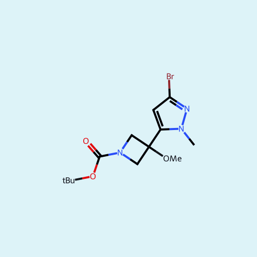 COC1(c2cc(Br)nn2C)CN(C(=O)OC(C)(C)C)C1